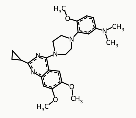 COc1cc2nc(C3CC3)nc(N3CCN(c4cc(N(C)C)ccc4OC)CC3)c2cc1OC